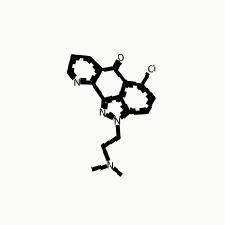 CN(C)CCn1nc2c3c(c(Cl)ccc31)C(=O)c1cccnc1-2